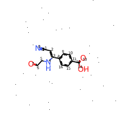 N#CC=C(NCC=O)c1ccc(C(=O)O)cc1